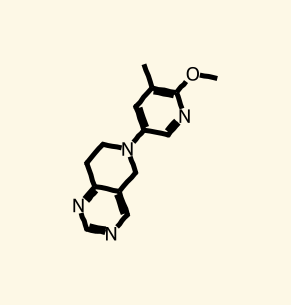 COc1ncc(N2CCc3ncncc3C2)cc1C